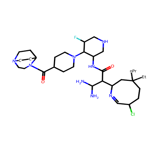 CCCC1(CC)CCC(Cl)/C=N\C(C(C(=O)NC2CNCC(F)C2N2CCC(C(=O)N3CCN4CCC3CC4)CC2)C(N)N)C1